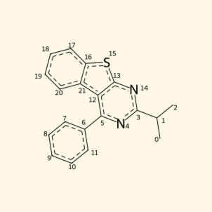 CC(C)c1nc(-c2ccccc2)c2c(n1)sc1ccccc12